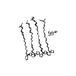 CC(C)CCCCCCCCCCCCCCC(=O)[O-].CC(C)CCCCCCCCCCCCCCC(=O)[O-].CC(C)CCCCCCCCCCCCCCC(=O)[O-].CC(C)CCCCCCCCCCCCCCC(=O)[O-].[Sn+4]